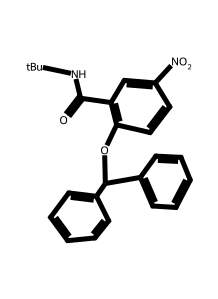 CC(C)(C)NC(=O)c1cc([N+](=O)[O-])ccc1OC(c1ccccc1)c1ccccc1